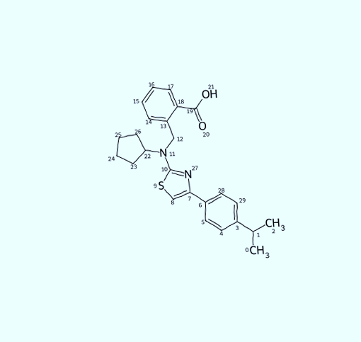 CC(C)c1ccc(-c2csc(N(Cc3ccccc3C(=O)O)C3CCCC3)n2)cc1